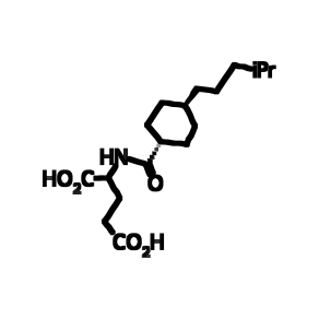 CC(C)CCC[C@H]1CC[C@H](C(=O)NC(CCC(=O)O)C(=O)O)CC1